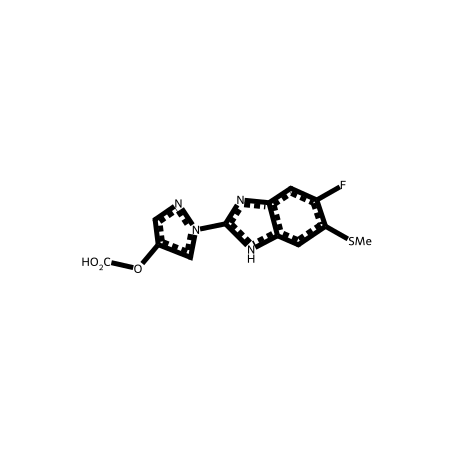 CSc1cc2[nH]c(-n3cc(OC(=O)O)cn3)nc2cc1F